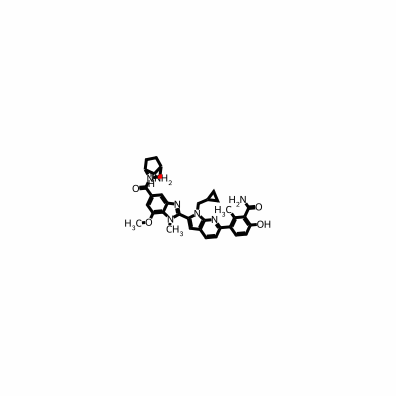 COc1cc(C(=O)N2CC3CCC2[C@@H]3N)cc2nc(-c3cc4ccc(-c5ccc(O)c(C(N)=O)c5C)nc4n3CC3CC3)n(C)c12